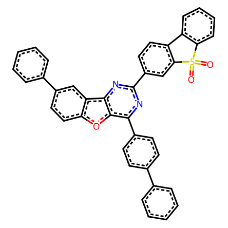 O=S1(=O)c2ccccc2-c2ccc(-c3nc(-c4ccc(-c5ccccc5)cc4)c4oc5ccc(-c6ccccc6)cc5c4n3)cc21